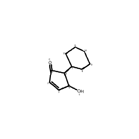 O=C1C=CC(O)C1C1CCCCC1